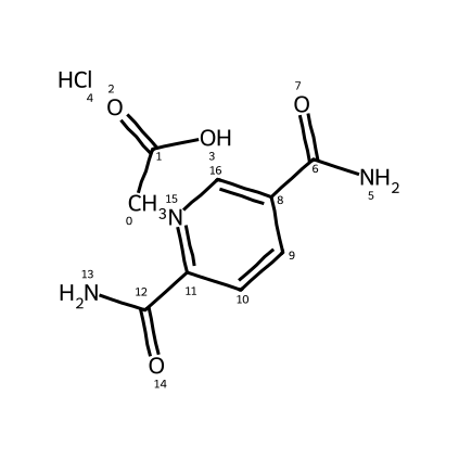 CC(=O)O.Cl.NC(=O)c1ccc(C(N)=O)nc1